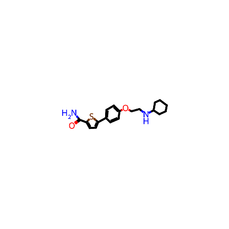 NC(=O)c1ccc(-c2ccc(OCCNC3CCCCC3)cc2)s1